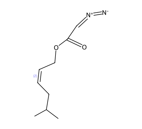 CC(C)C/C=C\COC(=O)C=[N+]=[N-]